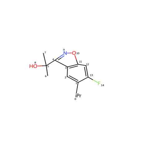 CC(C)c1cc2c(C(C)(C)O)noc2cc1F